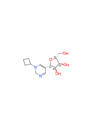 OC[C@H]1O[C@@H](C2=CN(C3CCC3)CN=C2)[C@H](O)[C@@H]1O